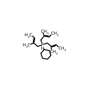 CC=C(C)C[PH](CC(C)=CC)(CC(C)=CC)C1CCCCC1